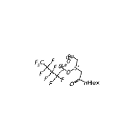 CCCCCCC(=O)C[S+](CC(C)(C)C)OS(=O)(=O)C(F)(F)C(F)(F)C(F)(F)C(F)(F)F